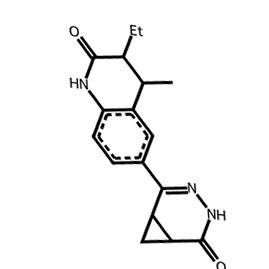 CCC1C(=O)Nc2ccc(C3=NNC(=O)C4CC34)cc2C1C